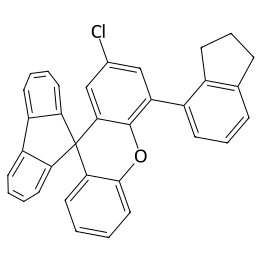 Clc1cc(-c2cccc3c2CCC3)c2c(c1)C1(c3ccccc3O2)c2ccccc2-c2ccccc21